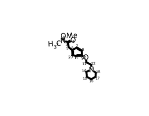 CON(C)C(=O)Cc1ccc(OCCN2CCCCC2)cc1